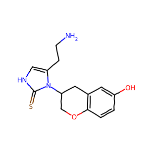 NCCc1c[nH]c(=S)n1C1COc2ccc(O)cc2C1